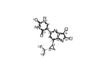 O=c1[nH]cc(-c2cc([C@H]3C[C@@H]3C(F)F)c3nc(Cl)c(Cl)n3n2)c(=O)[nH]1